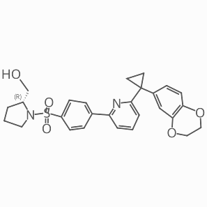 O=S(=O)(c1ccc(-c2cccc(C3(c4ccc5c(c4)OCCO5)CC3)n2)cc1)N1CCC[C@@H]1CO